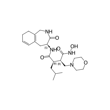 CC(C)C[C@@H](C(=O)N[C@H]1CC2=C(CCC=C2)CNC1=O)[C@H](CN1CCOCC1)C(=O)NO